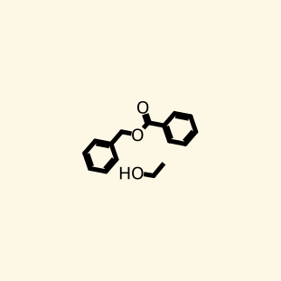 CCO.O=C(OCc1ccccc1)c1ccccc1